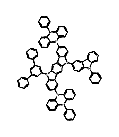 c1ccc(-c2cc(-c3ccccc3)cc(-n3c4ccc(B5c6ccccc6N(c6ccccc6)c6ccccc65)cc4c4cc5c(cc43)c3cc(B4c6ccccc6N(c6ccccc6)c6ccccc64)ccc3n5-c3ccc4c(c3)c3ccccc3n4-c3ccccc3)c2)cc1